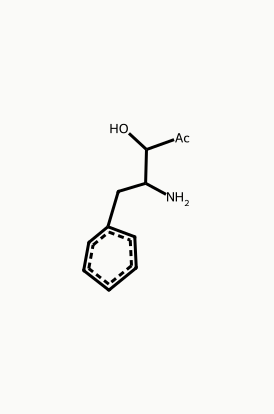 CC(=O)C(O)C(N)Cc1ccccc1